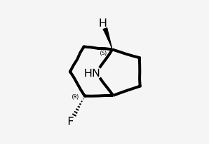 F[C@@H]1CC[C@@H]2CCC1N2